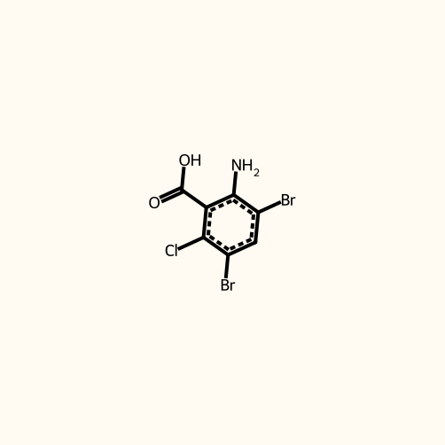 Nc1c(Br)cc(Br)c(Cl)c1C(=O)O